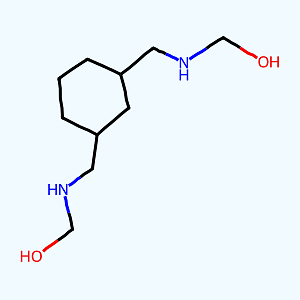 OCNCC1CCCC(CNCO)C1